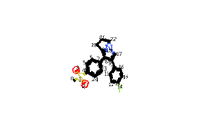 CS(=O)(=O)c1ccc(-c2c(-c3ccc(F)cc3)cn3c2CCC3)cc1